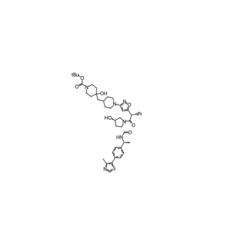 Cc1ncsc1-c1ccc([C@H](C)NC(=O)[C@@H]2C[C@@H](O)CN2C(=O)[C@@H](c2cc(N3CCC(CC4(O)CCN(C(=O)OC(C)(C)C)CC4)CC3)no2)C(C)C)cc1